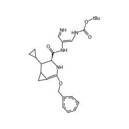 CC(C)(C)OC(=O)N/C=C(\C=N)NC(=O)[C@H]1NC(OCc2ccccc2)=C2CC2C1C1CC1